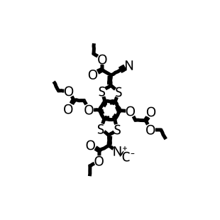 [C-]#[N+]C(C(=O)OCC)=C1Sc2c(OCC(=O)OCC)c3c(c(OCC(=O)OCC)c2S1)SC(=C(C#N)C(=O)OCC)S3